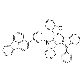 c1ccc(-n2c3ccccc3c3c4oc5ccccc5c4c4c(c5ccccc5n4-c4cccc(-c5ccc6c7c(cccc57)-c5ccccc5-6)c4)c32)cc1